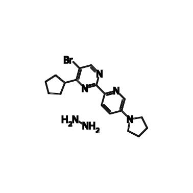 Brc1cnc(-c2ccc(N3CCCC3)cn2)nc1C1CCCC1.NN